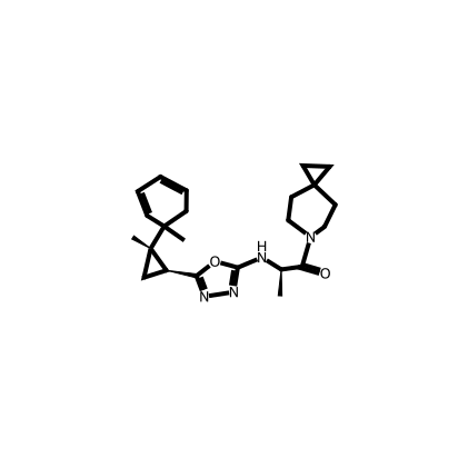 C[C@@H](Nc1nnc([C@H]2C[C@]2(C)C2(C)C=CC=CC2)o1)C(=O)N1CCC2(CC1)CC2